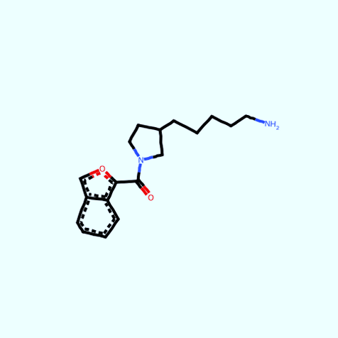 NCCCCCC1CCN(C(=O)c2occ3ccccc23)C1